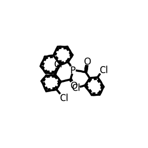 O=C(c1c(Cl)cccc1Cl)P(C(=O)c1c(Cl)cccc1Cl)c1cccc2ccccc12